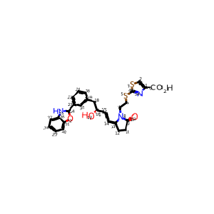 O=C(O)c1csc(SCCN2C(=O)CCC2/C=C/[C@@H](O)Cc2cccc(C3Nc4ccccc4O3)c2)n1